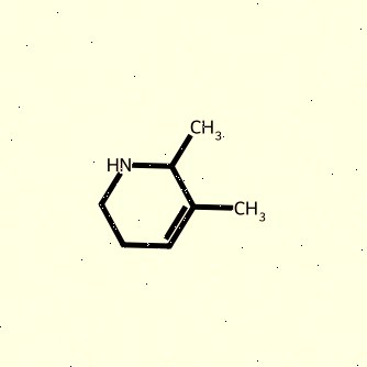 CC1=CCCNC1C